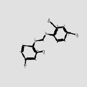 Clc1ccc(OCOc2ccc(Cl)cc2Cl)c(Cl)c1